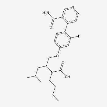 CCCCN(C(=O)O)C(COc1ccc(-c2ccncc2C(N)=O)c(F)c1)CC(C)C